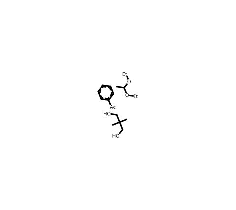 CC(=O)c1ccccc1.CC(C)(CO)CO.CCOC(C)OCC